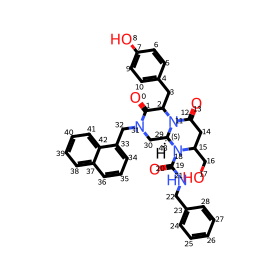 O=C1C(Cc2ccc(O)cc2)N2C(=O)CC(CO)N(C(=O)NCc3ccccc3)[C@H]2CN1Cc1cccc2ccccc12